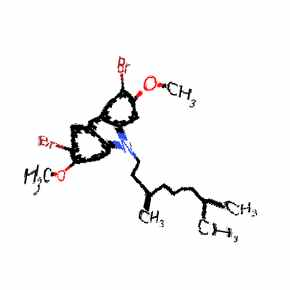 COc1cc2c(cc1Br)c1cc(Br)c(OC)cc1n2CCC(C)CCCC(C)C